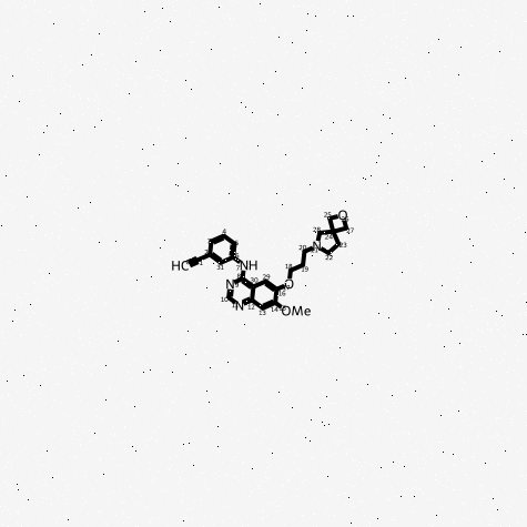 C#Cc1cccc(Nc2ncnc3cc(OC)c(OCCCN4CCC5(COC5)C4)cc23)c1